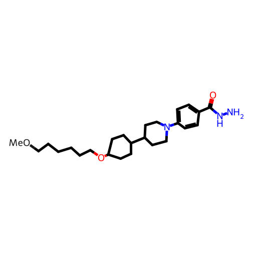 COCCCCCCOC1CCC(C2CCN(c3ccc(C(=O)NN)cc3)CC2)CC1